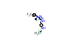 CC(F)(F)CSNC1CCC(CNc2ncnc(N(Cc3ccc(C(F)(F)F)cc3)C3CC3)c2F)CC1